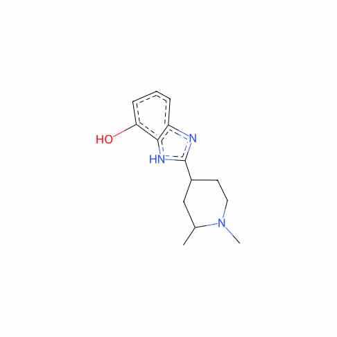 CC1CC(c2nc3cccc(O)c3[nH]2)CCN1C